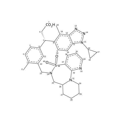 Cc1ccc([C@H](CC(=O)O)c2ccc3c(nnn3C3CC3)c2C)cc1CN1CC2CCCCN2c2ncccc2S1(=O)=O